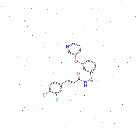 C[C@H](NC(=O)/C=C/c1ccc(F)c(F)c1)c1cccc(Oc2cccnc2)c1